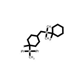 CC(C)[Si](C)(C(C)C)C1(I)CCC(C[Si](C)(C)C2(I)CCCCC2)CC1